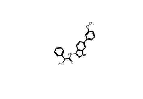 CC(=O)OC(C(=O)Nc1n[nH]c2cc(-c3cccc(OC(F)(F)F)c3)ccc12)c1ccccc1